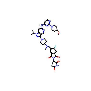 COC1CCN(c2nccc(Nc3cc4c(cn3)c(N3CCC(N(C)Cc5cc6c(cc5F)C(=O)N(C5CCC(=O)NC5=O)C6=O)CC3)nn4C(C)C)n2)CC1